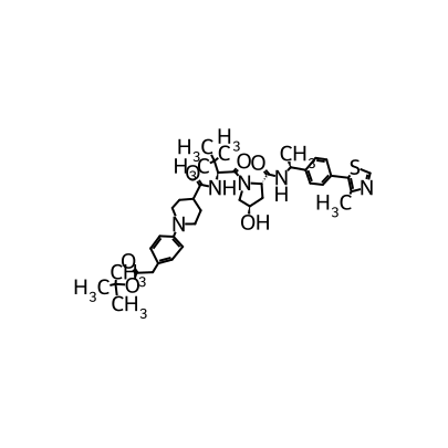 Cc1ncsc1-c1ccc([C@H](C)NC(=O)[C@@H]2C[C@@H](O)CN2C(=O)[C@@H](NC(=O)C2CCN(c3ccc(CC(=O)OC(C)(C)C)cc3)CC2)C(C)(C)C)cc1